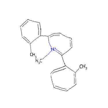 Cc1ccccc1-c1cccc(-c2ccccc2C)[n+]1C